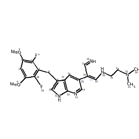 COc1cc(OC)c(F)c(Cc2c[nH]c3ncc(/C(C=N)=C/NCCN(C)C)cc23)c1F